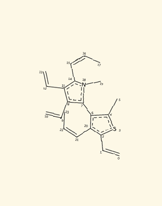 C=Cc1sc(C)c(-c2c(C=C)c(C=C)c(/C=C\C)n2C)c1/C=C\C